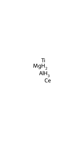 [AlH3].[Ce].[MgH2].[Ti]